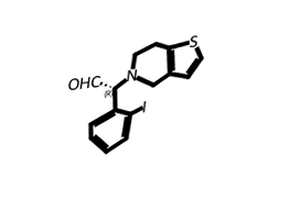 O=C[C@@H](c1ccccc1I)N1CCc2sccc2C1